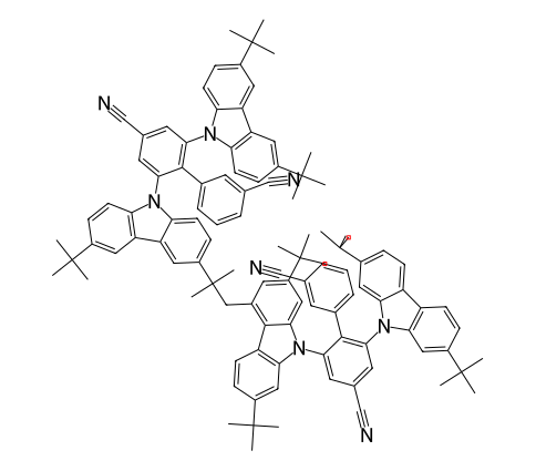 CC(C)(C)c1ccc2c(c1)c1cc(C(C)(C)C)ccc1n2-c1cc(C#N)cc(-n2c3ccc(C(C)(C)C)cc3c3cc(C(C)(C)Cc4cc(C(C)(C)C)cc5c4c4ccc(C(C)(C)C)cc4n5-c4cc(C#N)cc(-n5c6cc(C(C)(C)C)ccc6c6ccc(C(C)(C)C)cc65)c4-c4cccc(C#N)c4)ccc32)c1-c1cccc(C#N)c1